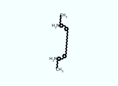 CCCCCCc1cc(Cc2ccc(CCCCCCCCCCCCCCCc3ccc(Cc4ccc(N)c(CCCCCC)c4)cc3)cc2)ccc1N